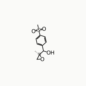 C[C@@]1(C(O)c2ccc(S(C)(=O)=O)cc2)CO1